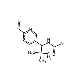 CC(C)(C)C(NC(=O)O)c1ccc(C=O)nc1